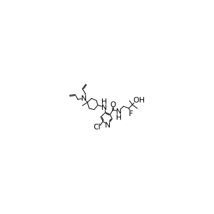 C=CCN(CC=C)C1(C)CCC(Nc2cc(Cl)ncc2C(=O)NCC(F)C(C)(C)O)CC1